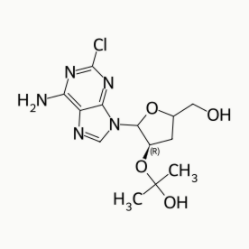 CC(C)(O)O[C@@H]1CC(CO)OC1n1cnc2c(N)nc(Cl)nc21